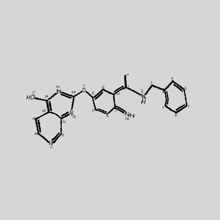 C/C(NCc1ccccc1)=C1\C=C(Oc2nc(O)c3ccncc3n2)C=CC1=N